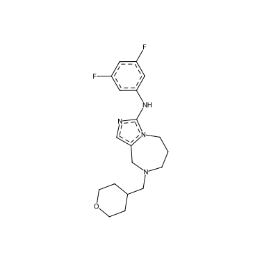 Fc1cc(F)cc(Nc2ncc3n2CCCN(CC2CCOCC2)C3)c1